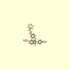 Cc1c(-c2ccc(O)cc2)n(Cc2ccc(OCCN3CCCCC3)cc2)c2ccccc12.Cl